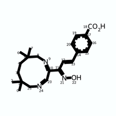 CC1(C)CCC(C)(C)C/N=C(C(/C=C/c2ccc(C(=O)O)cc2)=N/O)\C=N/C1